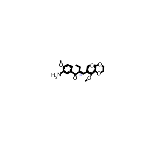 CC/C(=C\c1ccc2c(c1OC)OCCO2)C(=O)c1ccc(OC)c(N)c1